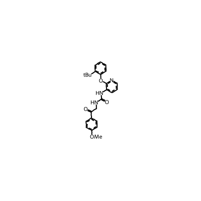 COc1ccc(C(=O)CNC(=O)Nc2cccnc2Oc2ccccc2C(C)(C)C)cc1